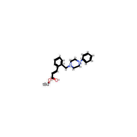 CC(C)(C)OC(=O)/C=C/c1ccccc1CN1CCN(c2ccccc2)CC1